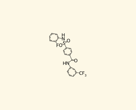 O=C(Nc1cccc(C(F)(F)F)c1)c1ccc(S(=O)(=O)Nc2ccccc2F)cc1